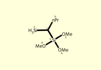 CCCC([SiH3])[Si](OC)(OC)OC